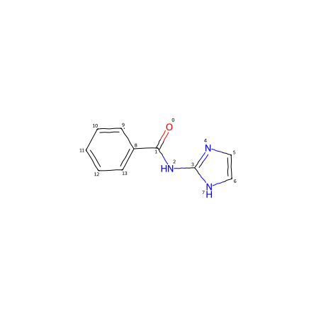 O=C(Nc1ncc[nH]1)c1[c]cccc1